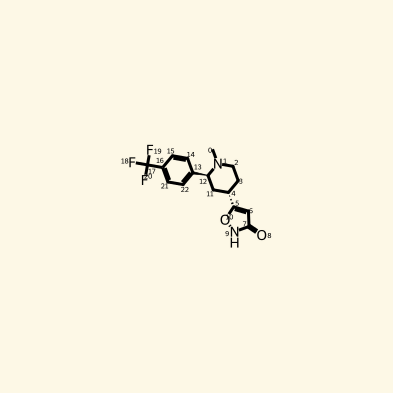 CN1CC[C@H](c2cc(=O)[nH]o2)C[C@H]1c1ccc(C(F)(F)F)cc1